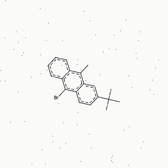 Cc1c2ccccc2c(Br)c2ccc(C(C)(C)C)cc12